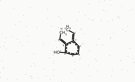 C/C=c1/cccc(O)/c1=C/C